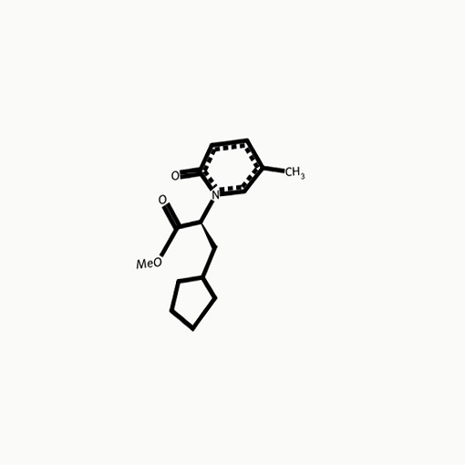 COC(=O)[C@H](CC1CCCC1)n1cc(C)ccc1=O